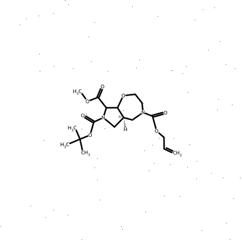 C=CCOC(=O)N1CCOC2C(C(=O)OC)N(C(=O)OC(C)(C)C)C[C@@H]2C1